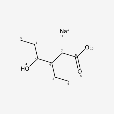 CCC(O)C(CC)CC(=O)[O-].[Na+]